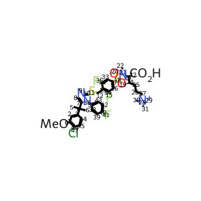 COc1cc(C(C)(C)c2cnc(SCc3c(F)cc(S(=O)(=O)N(C)[C@@H](CCCC[N+](C)(C)C)C(=O)O)cc3F)n2-c2ccc(F)cc2)ccc1Cl